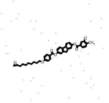 Cc1ccc(C(=O)Oc2ccc3c(c2)Cc2cc(OC(=O)c4ccc(OCCCCCCCCC5CO5)cc4)ccc2-3)cc1Cl